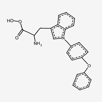 NC(Cc1cn(-c2ccc(Oc3ccccc3)cc2)c2ccccc12)C(=O)OO